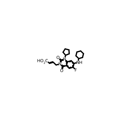 O=C(O)C=CCn1c(=O)c2cc(F)c(NC3CCCCC3)cc2n(C2CCCC2)c1=O